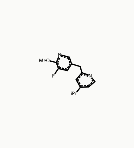 COc1ncc(Cc2cc(C(C)C)ccn2)cc1F